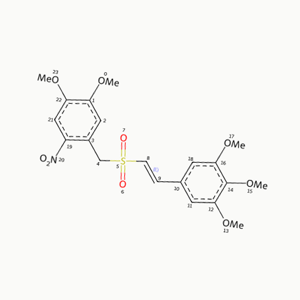 COc1cc(CS(=O)(=O)/C=C/c2cc(OC)c(OC)c(OC)c2)c([N+](=O)[O-])cc1OC